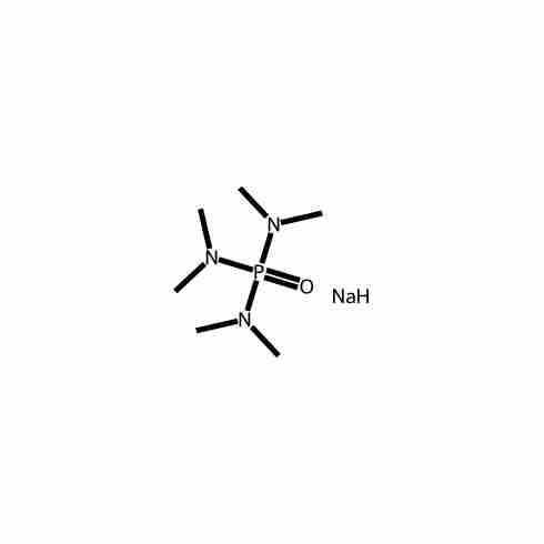 CN(C)P(=O)(N(C)C)N(C)C.[NaH]